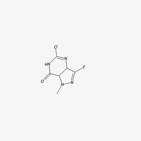 CN1N=C(F)C2N=C(Cl)NC(=O)C21